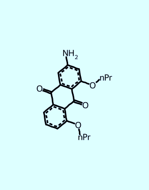 CCCOc1cccc2c1C(=O)c1c(OCCC)cc(N)cc1C2=O